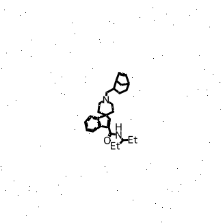 CCC(CC)NC(=O)C1=CC2(CCN(CC3CCC4C=CC3C4)CC2)c2ccccc21